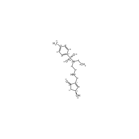 CCN(CCNCC1=C[C@@H](O)CC1=O)S(=O)(=O)c1ccc(C)cc1